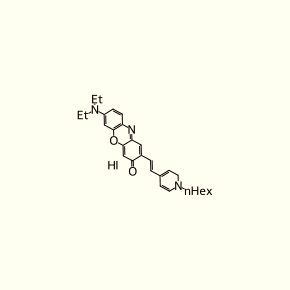 CCCCCCN1C=CC(/C=C/c2cc3nc4ccc(N(CC)CC)cc4oc-3cc2=O)=CC1.I